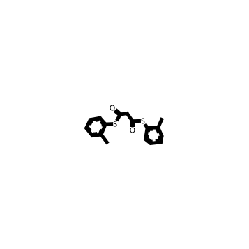 Cc1ccccc1SC(=O)CC(=O)Sc1ccccc1C